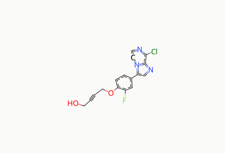 OCC#CCOc1ccc(-c2cnc3c(Cl)nccn23)cc1F